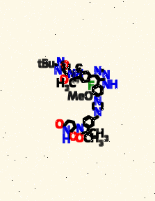 COc1cc2c(cc1N1CCN(Cc3ccc4c(c3)C(C)(C)C(=O)N4C3CCC(=O)NC3=O)CC1)[nH]c1ncnc(-c3cc(C)c([C@@H](C)NC(=O)c4nc(C(C)(C)C)no4)cc3F)c12